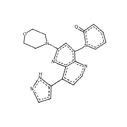 O=c1ccccn1-c1cc(N2CCOCC2)nc2c(-c3ccn[nH]3)ccnc12